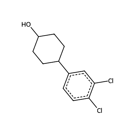 OC1CCC(c2ccc(Cl)c(Cl)c2)CC1